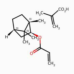 C=C(C)C(=O)O.C=CC(=O)O[C@H]1C[C@@H]2CC[C@@]1(C)C2(C)C